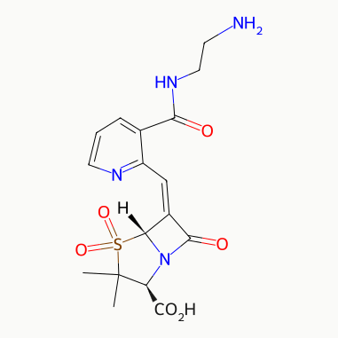 CC1(C)[C@H](C(=O)O)N2C(=O)/C(=C/c3ncccc3C(=O)NCCN)[C@H]2S1(=O)=O